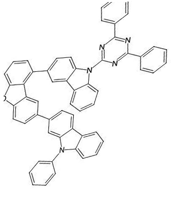 c1ccc(-c2nc(-c3ccccc3)nc(-n3c4ccccc4c4cc(-c5cccc6oc7ccc(-c8ccc9c%10ccccc%10n(-c%10ccccc%10)c9c8)cc7c56)ccc43)n2)cc1